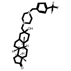 C[C@]12CCC(O)(CN3CCN(Cc4ccc(C(F)(F)F)cc4)CC3)CC1CC[C@@H]1[C@H]2CC[C@]2(C)C(=O)CC[C@@H]12